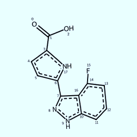 O=C(O)c1ccc(-c2n[nH]c3cccc(F)c23)[nH]1